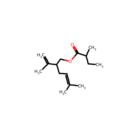 C=C(C)C(CC=C(C)C)COC(=O)C(C)CC